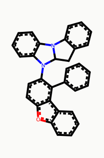 c1ccc(-c2c(N3c4ccccc4N4c5ccccc5CC43)ccc3oc4ccccc4c23)cc1